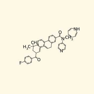 C1=CC=CNC=C1.CN(C(=O)c1ccc2c(c1)CC=c1c-2ccc2c1=CC(C(=O)c1ccc(F)cc1)CC2(C)C)c1ccncc1